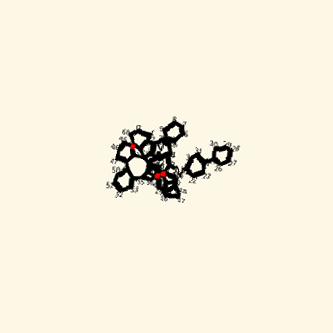 C1=CC(N(c2ccccc2)c2ccc3c4ccccc4n(-c4ccc(-c5ccccc5)cc4)c3c2)=C(C2(c3ccccc3)c3ccccc3-c3ccccc3-c3cccc2c3-c2ccccc2)CC1